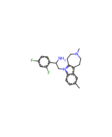 Cc1ccc2c(c1)c1c(n2CC(N)c2ccc(F)cc2F)CCN(C)CC1